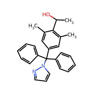 Cc1cc(C(c2ccccc2)(c2ccccc2)n2cccn2)cc(C)c1C(C)O